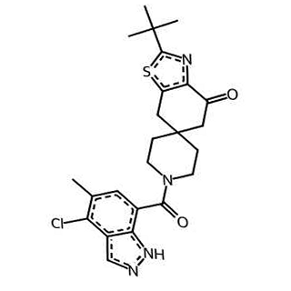 Cc1cc(C(=O)N2CCC3(CC2)CC(=O)c2nc(C(C)(C)C)sc2C3)c2[nH]ncc2c1Cl